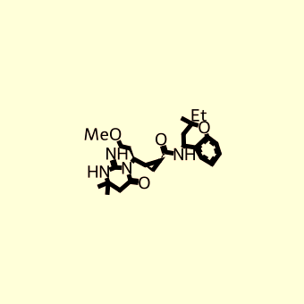 CCC1(C)CC(NC(=O)[C@@H]2C[C@H]2[C@H](CCOC)N2C(=N)NC(C)(C)CC2=O)c2ccccc2O1